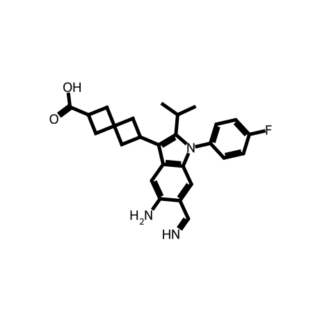 CC(C)c1c(C2CC3(CC(C(=O)O)C3)C2)c2cc(N)c(C=N)cc2n1-c1ccc(F)cc1